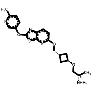 CC(=O)N[C@@H](C)CO[C@H]1C[C@H](COc2ccc3nc(Oc4ccc(C)nc4)sc3n2)C1